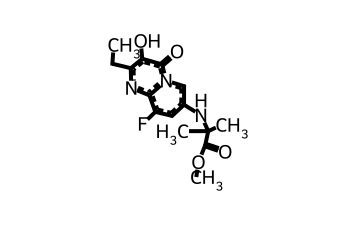 CCc1nc2c(F)cc(NC(C)(C)C(=O)OC)cn2c(=O)c1O